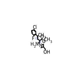 COC(=O)C(/C=C(\C)c1cc(Cl)ccc1F)=C(/N)N1CC(CO)C1